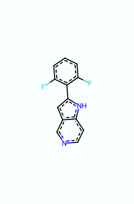 Fc1cccc(F)c1-c1cc2cnccc2[nH]1